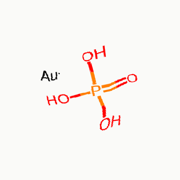 O=P(O)(O)O.[Au]